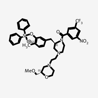 COC[C@@H]1CN(CCN2CCN(C(=O)c3cc([N+](=O)[O-])cc(C(F)(F)F)c3)[C@H](Cc3ccc(C)c(O[Si](c4ccccc4)(c4ccccc4)C(C)(C)C)c3)C2)CCO1